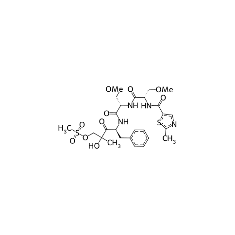 COC[C@H](NC(=O)c1cnc(C)s1)C(=O)N[C@@H](COC)C(=O)N[C@@H](Cc1ccccc1)C(=O)C(C)(O)COS(C)(=O)=O